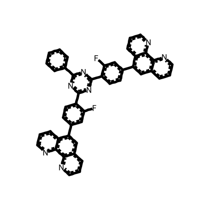 Fc1cc(-c2cc3cccnc3c3ncccc23)ccc1-c1nc(-c2ccccc2)nc(-c2ccc(-c3cc4cccnc4c4ncccc34)cc2F)n1